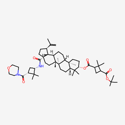 C=C(C)[C@@H]1CC[C@]2(C(=O)N[C@H]3C[C@@H](C(=O)N4CCOCC4)C3(C)C)CC[C@]3(C)[C@H](CC[C@@H]4[C@@]5(C)CC[C@H](OC(=O)C6CC(C(=O)OC(C)(C)C)C6(C)C)C(C)(C)[C@@H]5CC[C@]43C)[C@@H]12